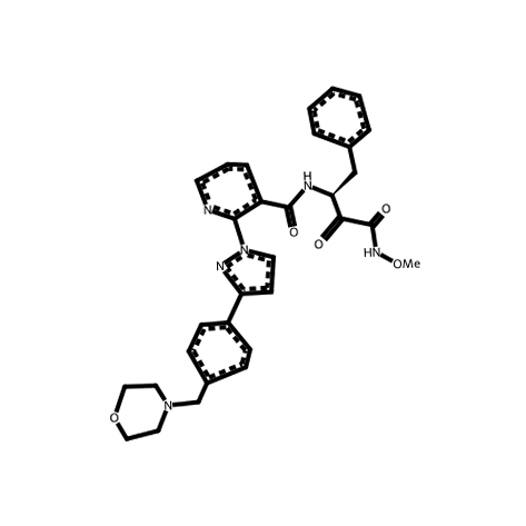 CONC(=O)C(=O)[C@H](Cc1ccccc1)NC(=O)c1cccnc1-n1ccc(-c2ccc(CN3CCOCC3)cc2)n1